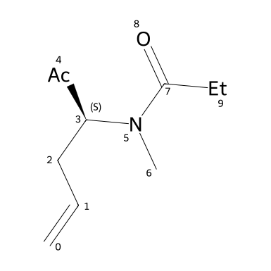 C=CC[C@@H](C(C)=O)N(C)C(=O)CC